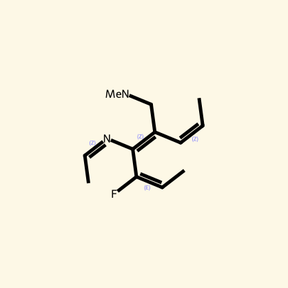 C\C=C/C(CNC)=C(/N=C\C)C(\F)=C/C